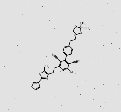 Cc1oc(-c2ccsc2)nc1CSc1nc(N)c(C#N)c(-c2ccc(CC[C@H]3COC(C)(C)O3)cc2)c1C#N